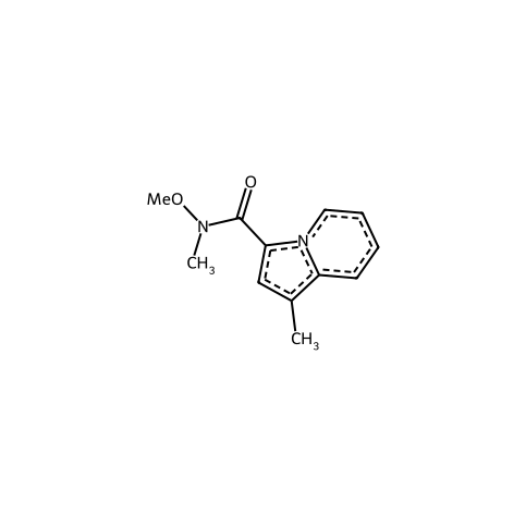 CON(C)C(=O)c1cc(C)c2ccccn12